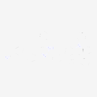 N#Cc1cccc(-c2cccc(C3=NC(c4cccc(-c5ccc6c(c5)C5(c7ccccc7-c7ccccc75)c5cccc7c8ccccc8n-6c57)c4)NC(c4ccccc4)=C3)c2)c1